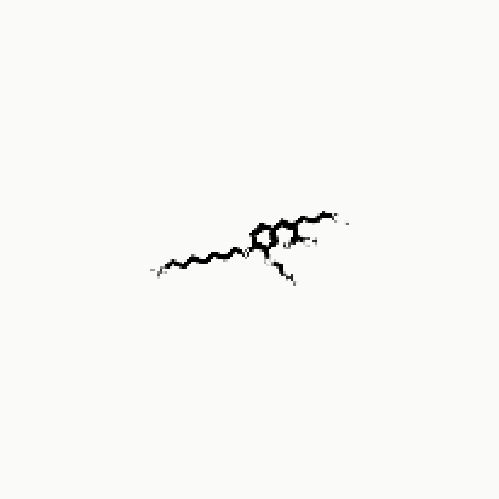 CCCCCCCCOc1ccc(C=C(CCCC)C(=O)O)cc1OCC